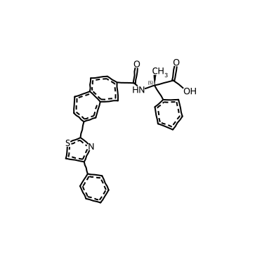 C[C@@](NC(=O)c1ccc2ccc(-c3nc(-c4ccccc4)cs3)cc2c1)(C(=O)O)c1ccccc1